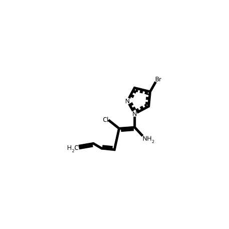 C=C/C=C\C(Cl)=C(/N)n1cc(Br)cn1